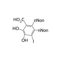 CCCCCCCCCc1c(I)c(O)c(O)c(C(=O)O)c1CCCCCCCCC